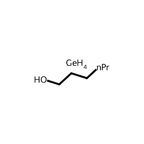 CCCCCCO.[GeH4]